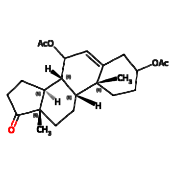 CC(=O)OC1CC[C@@]2(C)C(=CC(OC(C)=O)[C@@H]3[C@H]2CC[C@]2(C)C(=O)CC[C@@H]32)C1